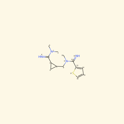 CN(C)C(=N)C1CC1CN(C)C(=N)c1cccs1